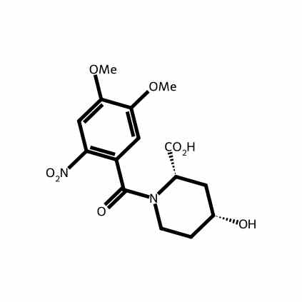 COc1cc(C(=O)N2CC[C@@H](O)C[C@H]2C(=O)O)c([N+](=O)[O-])cc1OC